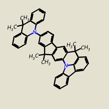 CC1(C)c2cc(N3c4ccccc4C(C)(C)c4ccccc43)ccc2-c2cc3c(cc21)-n1c2ccccc2c2cccc(c21)C3(C)C